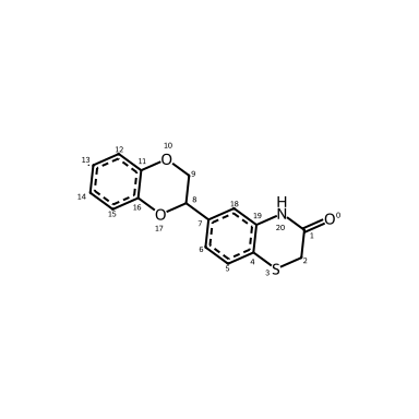 O=C1CSc2ccc(C3COc4c[c]ccc4O3)cc2N1